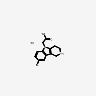 Cl.O=C(O)Cn1c2c(c3cc(Br)ccc31)CNCC2